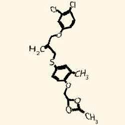 C=C(COc1ccc(Cl)c(Cl)c1)CSc1ccc(OCC2OC(C)O2)c(C)c1